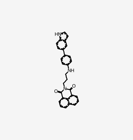 O=C1c2cccc3cccc(c23)C(=O)N1CCCNc1ccc(-c2ccc3[nH]ccc3c2)cc1